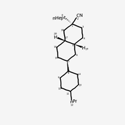 CCCCCCC[C@]1(C#N)CC[C@@H]2C[C@@H](C3CCC(CCC)CC3)CC[C@@H]2C1